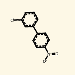 O=[N+]([O-])c1ccc(-c2cc[c]c(Cl)c2)cc1